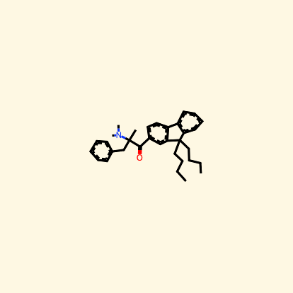 CCCCC1(CCCC)c2ccccc2-c2ccc(C(=O)C(C)(Cc3ccccc3)N(C)C)cc21